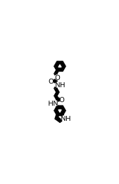 O=C(CCCNC(=O)OCc1ccccc1)Nc1ccc2[nH]ccc2c1